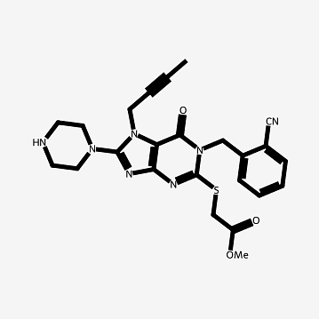 CC#CCn1c(N2CCNCC2)nc2nc(SCC(=O)OC)n(Cc3ccccc3C#N)c(=O)c21